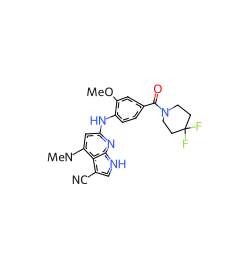 CNc1cc(Nc2ccc(C(=O)N3CCC(F)(F)CC3)cc2OC)nc2[nH]cc(C#N)c12